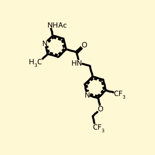 CC(=O)Nc1cc(C(=O)NCc2cnc(OCC(F)(F)F)c(C(F)(F)F)c2)cc(C)n1